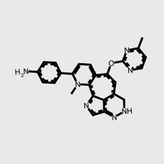 Cc1ccnc(Oc2cc3c4c(cnc-4c4c2=CC=C(c2ccc(N)cc2)N4C)=NNC3)n1